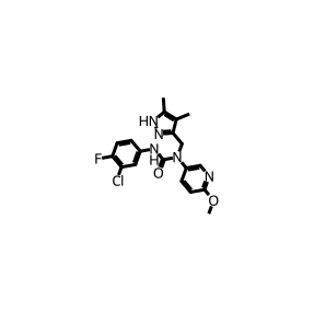 COc1ccc(N(Cc2n[nH]c(C)c2C)C(=O)Nc2ccc(F)c(Cl)c2)cn1